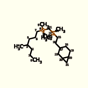 CCCC(C)CCCS(C)(C)CS(C)(C)CCC1CCC2CC2C1